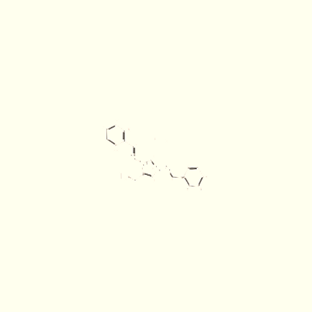 OCc1c[n+](/N=C/c2ccccc2)cn1/N=C/c1ccccc1.[Cl-]